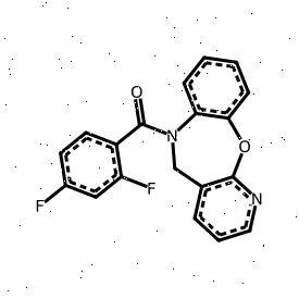 O=C(c1ccc(F)cc1F)N1Cc2cccnc2Oc2ccccc21